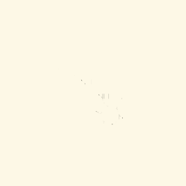 Cl.Clc1nccc2cc(CNC3CCCC3)[nH]c12